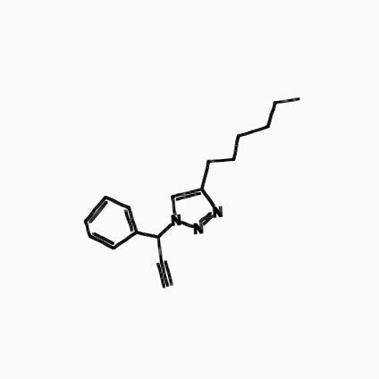 C#CC(c1ccccc1)n1cc(CCCCCC)nn1